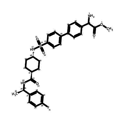 COC(=O)C(N)c1ccc(-c2ccc(S(=O)(=O)N[C@H]3CC[C@H](C(=O)N[C@H](C)c4ccc(F)cc4)CC3)cc2)cc1